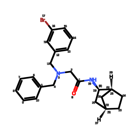 O=C(CN(Cc1ccccc1)Cc1cccc(Br)c1)N[C@@H]1C[C@@H]2CC[C@H]1C2